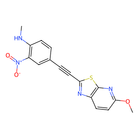 CNc1ccc(C#Cc2nc3ccc(OC)nc3s2)cc1[N+](=O)[O-]